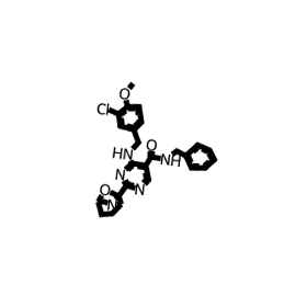 COc1ccc(CNc2nc(N3CC4CCC3CO4)ncc2C(=O)NCc2ccccc2)cc1Cl